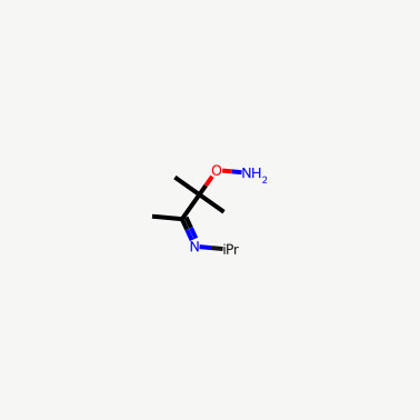 CC(=NC(C)C)C(C)(C)ON